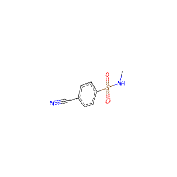 CNS(=O)(=O)c1ccc(C#N)cc1